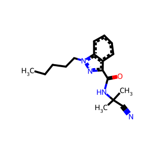 CCCCCn1nc(C(=O)NC(C)(C)C#N)c2ccccc21